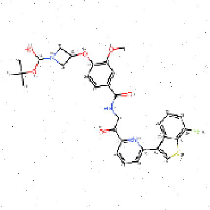 COc1cc(C(=O)NCC(=O)c2cccc(-c3csc4c(F)cccc34)n2)ccc1OC1CN(C(O)OC(C)(C)C)C1